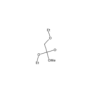 CCOCC([O])(OC)OCC